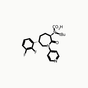 CC(C)(C)N(C(=O)O)[C@@H]1CC[C@@H](c2cccc(F)c2F)CN(c2ccncc2)C1=O